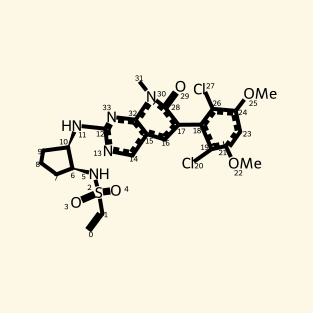 C=CS(=O)(=O)N[C@H]1CCC[C@H]1Nc1ncc2cc(-c3c(Cl)c(OC)cc(OC)c3Cl)c(=O)n(C)c2n1